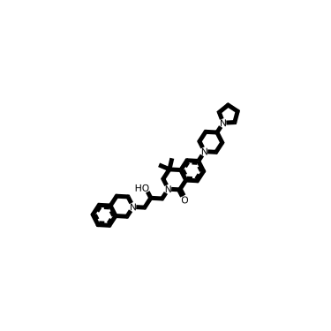 CC1(C)CN(CC(O)CN2CCc3ccccc3C2)C(=O)c2ccc(N3CCC(N4CCCC4)CC3)cc21